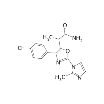 Cc1nccn1-c1nc(-c2ccc(Cl)cc2)c(C(C)C(N)=O)o1